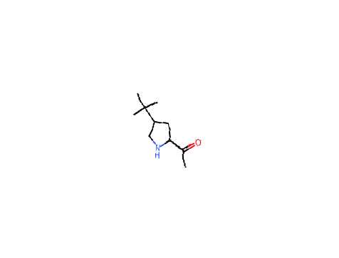 CC(=O)C1CC(C(C)(C)C)CN1